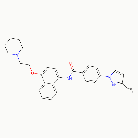 O=C(Nc1ccc(OCCN2CCCCC2)c2ccccc12)c1ccc(-n2ccc(C(F)(F)F)n2)cc1